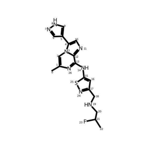 Cc1cn2c(-c3cn[nH]c3)cnc2c(Nc2cc(CNCC(C)F)ns2)n1